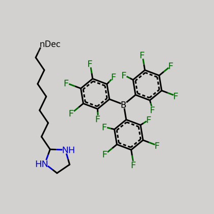 CCCCCCCCCCCCCCCCCC1NCCN1.Fc1c(F)c(F)c(B(c2c(F)c(F)c(F)c(F)c2F)c2c(F)c(F)c(F)c(F)c2F)c(F)c1F